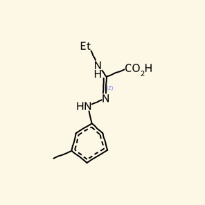 CCN/C(=N\Nc1cccc(C)c1)C(=O)O